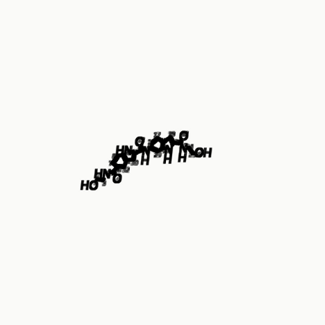 O=C(NCCO)c1ccc2[nH]c(C(=O)Nc3ccc4cc(C(=O)NCCO)[nH]c4c3)cc2c1